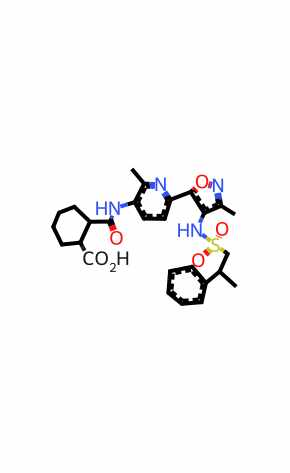 Cc1nc(-c2onc(C)c2NS(=O)(=O)CC(C)c2ccccc2)ccc1NC(=O)C1CCCCC1C(=O)O